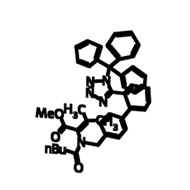 CCCCC(=O)N(Cc1ccc(-c2ccccc2-c2nnnn2C(c2ccccc2)(c2ccccc2)c2ccccc2)cc1)C(C(=O)OC)=C(C)C